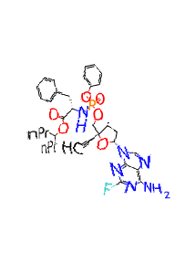 C#C[C@@]1(CO[P@@](=O)(N[C@@H](Cc2ccccc2)C(=O)OC(CCC)CCC)Oc2ccccc2)[CH]C[C@H](n2cnc3c(N)nc(F)nc32)O1